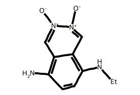 CCNc1ccc(N)c2c[n+]([O-])[n+]([O-])cc12